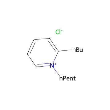 CCCCC[n+]1ccccc1CCCC.[Cl-]